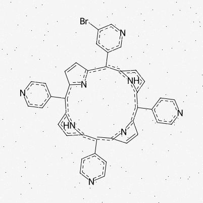 Brc1cncc(-c2c3nc(c(-c4ccncc4)c4ccc([nH]4)c(-c4ccncc4)c4nc(c(-c5ccncc5)c5ccc2[nH]5)C=C4)C=C3)c1